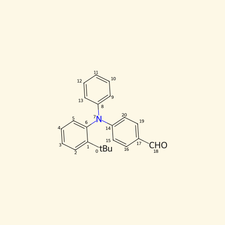 CC(C)(C)c1ccccc1N(c1ccccc1)c1ccc(C=O)cc1